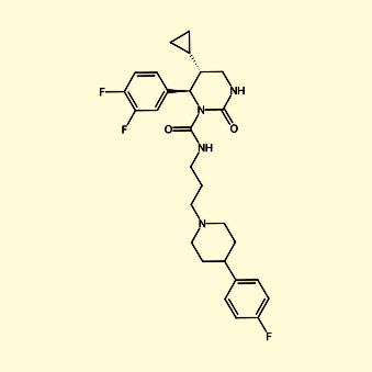 O=C(NCCCN1CCC(c2ccc(F)cc2)CC1)N1C(=O)NC[C@@H](C2CC2)[C@@H]1c1ccc(F)c(F)c1